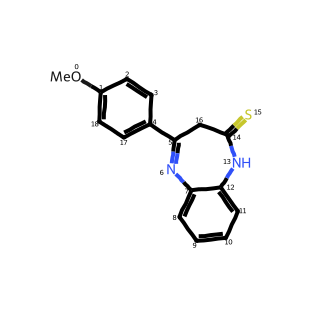 COc1ccc(C2=Nc3ccccc3NC(=S)C2)cc1